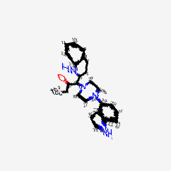 CC(C)(C)CC(=O)C(C1CCc2ccccc2N1)N1CCN(c2cccc3[nH]ccc23)CC1